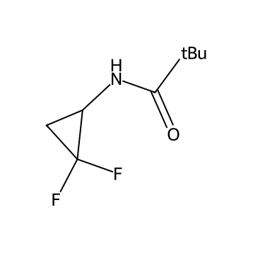 CC(C)(C)C(=O)NC1CC1(F)F